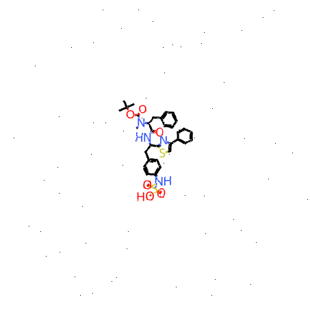 CN(C(=O)OC(C)(C)C)C(Cc1ccccc1)C(=O)NC(Cc1ccc(NS(=O)(=O)O)cc1)c1nc(-c2ccccc2)cs1